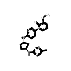 Cc1cnc(N[C@H]2CC[C@H](Nc3ccc(-n4cccc(OC(F)(F)F)c4=O)cn3)C2)nn1